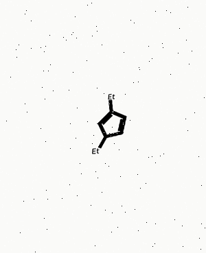 CCC1=[C]C(CC)C=C1